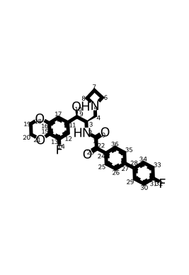 O=C(N[C@H](CN1CCC1)[C@H](O)c1cc(F)c2c(c1)OCCO2)C(=O)c1ccc(-c2ccc(F)cc2)cc1